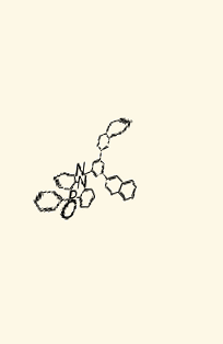 O=P1(c2ccccc2)c2ccccc2-n2c(-c3cc(-c4ccc5ccccc5c4)cc(-c4ccc5ccccc5c4)c3)nc3cccc1c32